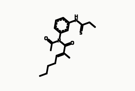 CCCCC=C(C)C(=O)N(C(C)=O)c1cccc(NC(=S)CC)c1